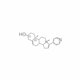 C[C@]12CC[C@H](O)CC1=CCC1C2CC[C@]2(C)C(c3ccncc3)=CCC12